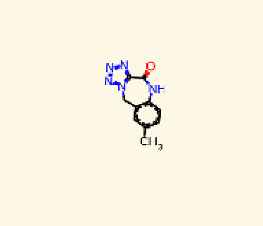 Cc1ccc2c(c1)Cn1nnnc1C(=O)N2